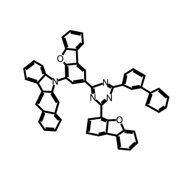 c1ccc(-c2cccc(-c3nc(-c4cc(-n5c6ccccc6c6cc7ccccc7cc65)c5oc6ccccc6c5c4)nc(-c4cccc5c4oc4ccccc45)n3)c2)cc1